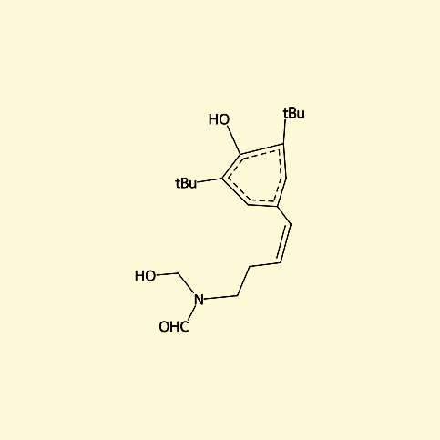 CC(C)(C)c1cc(/C=C\CCN(C=O)CO)cc(C(C)(C)C)c1O